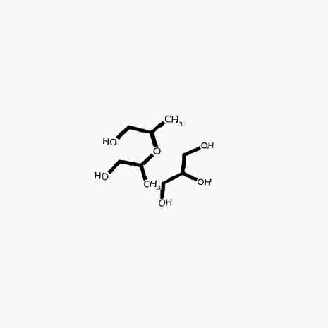 CC(CO)OC(C)CO.OCC(O)CO